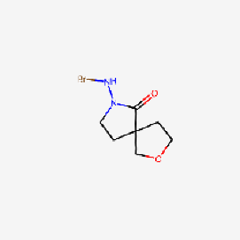 O=C1N(NBr)CCC12CCOC2